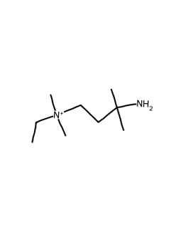 CC[N+](C)(C)CCC(C)(C)N